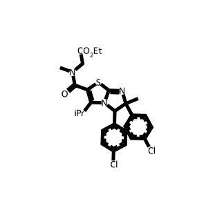 CCOC(=O)CN(C)C(=O)C1=C(C(C)C)N2C(=NC(C)(c3ccc(Cl)cc3)C2c2ccc(Cl)cc2)S1